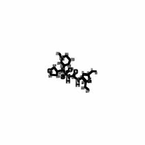 CCc1cc(NC(=O)NS(=O)(=O)N(C2CCOC2)C2CCCN(C)C2)c(CC)s1